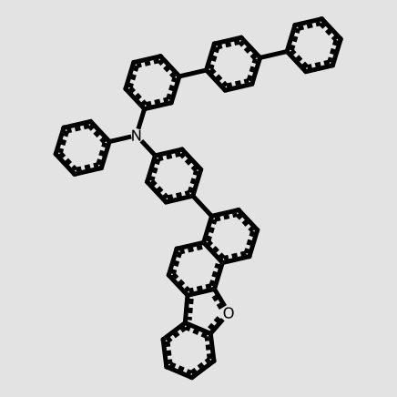 c1ccc(-c2ccc(-c3cccc(N(c4ccccc4)c4ccc(-c5cccc6c5ccc5c7ccccc7oc65)cc4)c3)cc2)cc1